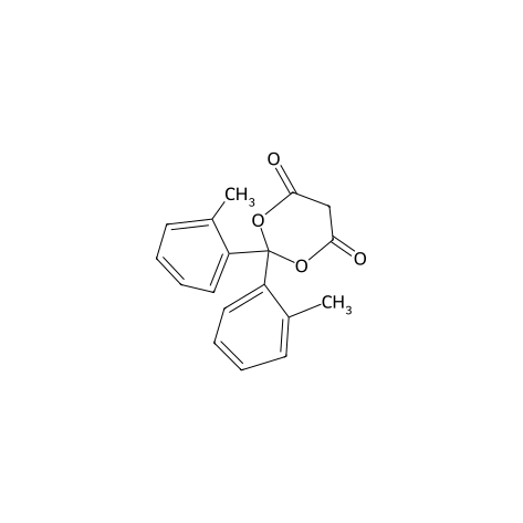 Cc1ccccc1C1(c2ccccc2C)OC(=O)CC(=O)O1